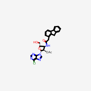 CC(=O)O[C@@H]1[C@H](NC(=O)Cc2cccc3c2Cc2ccccc2-3)[C@@H](CO)O[C@H]1n1cnc2c(Cl)ncnc21